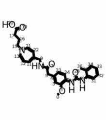 COc1cc(CC(=O)NCC2=CC=CN(CCCC(=O)O)C=C2)ccc1NC(=O)Nc1ccccc1C